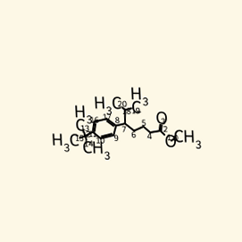 COC(=O)CCCC(c1ccc(C(C)(C)C)cc1)C(C)C